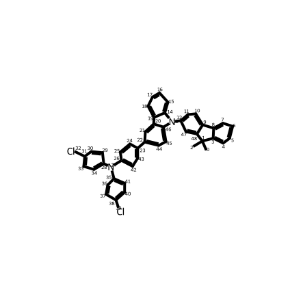 CC1(C)c2ccccc2-c2ccc(-n3c4ccccc4c4cc(-c5ccc(N(c6ccc(Cl)cc6)c6ccc(Cl)cc6)cc5)ccc43)cc21